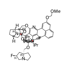 COCOc1cc(-c2nc3c4c(nc(OC[C@]56CCCN5C[C@@H](F)C6)nc4c2F)N2C[C@@H]4CC[C@H]([C@@H]2CO3)N4C(=O)OC(C)(C)C)c2c(C#C[Si](C(C)C)(C(C)C)C(C)C)cccc2c1